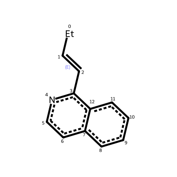 CC/C=C/c1nccc2ccccc12